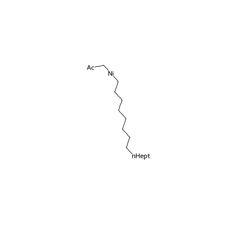 CCCCCCCCCCCCCC[CH2][Ni][CH2]C(C)=O